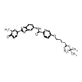 Cn1nc(-c2nc3cc(NC(=O)c4ccc(OCCOCC(=O)OC(C)(C)C)cn4)ccc3o2)ccc1=O